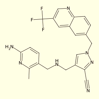 Cc1nc(N)ccc1CNCc1cn(Cc2ccc3ncc(C(F)(F)F)cc3c2)nc1C#N